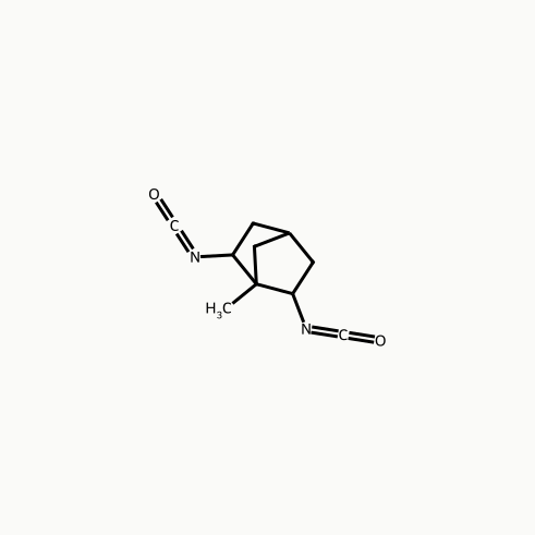 CC12CC(CC1N=C=O)CC2N=C=O